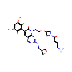 COc1cc(OC)c(Cl)c(-c2cc3cnc(NCC4COC4)nc3n(CCOC3CN(C(=O)C=CCN(C)C)C3)c2=O)c1Cl